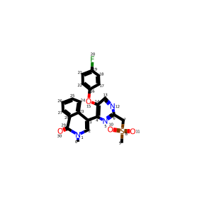 Cn1cc(-c2nc(CS(C)(=O)=O)ncc2Oc2ccc(F)cc2)c2ccccc2c1=O